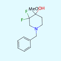 COC1(O)CCN(Cc2ccccc2)CC1(F)F